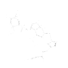 CC#CC(=O)NCc1cnn(Cc2cc(OC)c3c(NS(=O)(=O)c4cc(C)c(C)cc4OC)noc3c2)c1